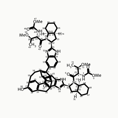 COC(=O)N[C@H](C(=O)N1[C@H](c2nc3cc(-c4cc5c(O)cc4CCc4cc(-c6ccc7[nH]c([C@@H]8C[C@@H]9CCCC[C@@H]9N8C(=O)[C@@H](NC(=O)OC)[C@@H](C)OC)nc7c6)c(cc4O)CC5)ccc3[nH]2)C[C@@H]2CCCC[C@@H]21)[C@@H](C)OC